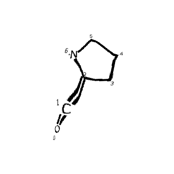 O=C=C1CCC[N]1